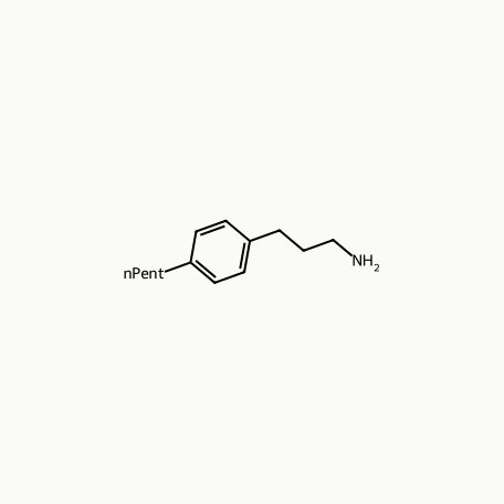 CCCCCc1ccc(CCCN)cc1